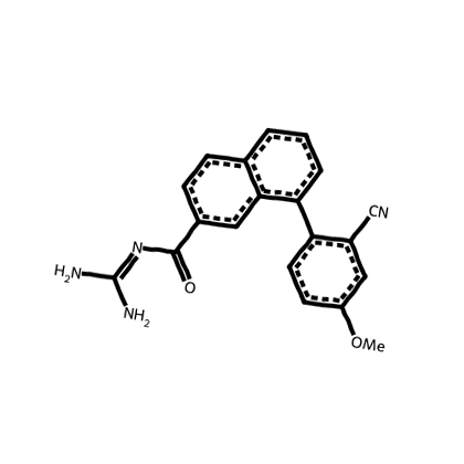 COc1ccc(-c2cccc3ccc(C(=O)N=C(N)N)cc23)c(C#N)c1